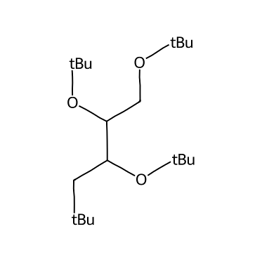 CC(C)(C)CC(OC(C)(C)C)C(COC(C)(C)C)OC(C)(C)C